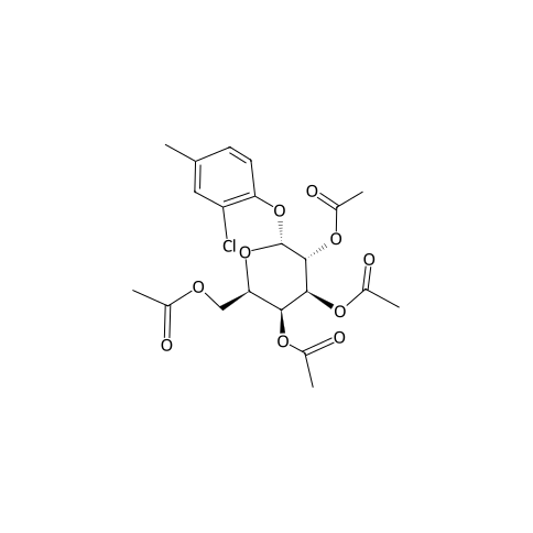 CC(=O)OC[C@H]1O[C@H](Oc2ccc(C)cc2Cl)[C@H](OC(C)=O)[C@@H](OC(C)=O)[C@H]1OC(C)=O